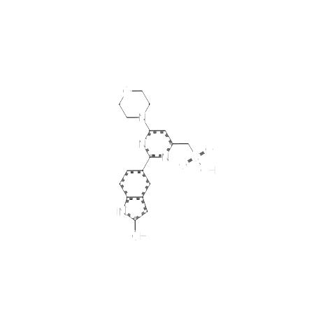 Cc1cc2cc(-c3nc(CS(C)(=O)=O)cc(N4CCOCC4)n3)ccc2[nH]1